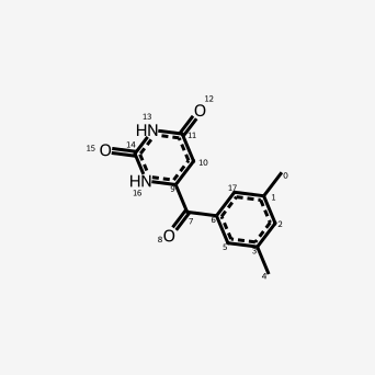 Cc1cc(C)cc(C(=O)c2cc(=O)[nH]c(=O)[nH]2)c1